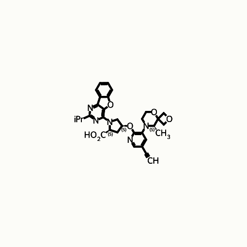 C#Cc1cnc(O[C@H]2C[C@@H](C(=O)O)N(c3nc(C(C)C)nc4c3oc3ccccc34)C2)c(N2CCOC3(COC3)[C@@H]2C)c1